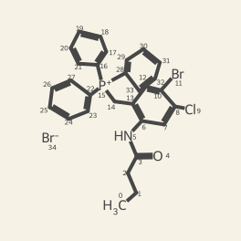 CCCC(=O)Nc1cc(Cl)c(Br)cc1C[P+](c1ccccc1)(c1ccccc1)c1ccccc1.[Br-]